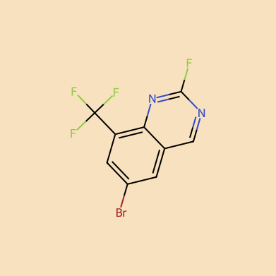 Fc1ncc2cc(Br)cc(C(F)(F)F)c2n1